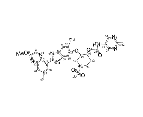 COc1cnc2c(-c3nc4cc(F)c(OC5CN(S(C)(=O)=O)CCC5OC(=O)Nc5cnc(C)nc5)cc4s3)cc(C)cc2n1